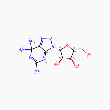 NC1=NC(N)(N)C2=NCN([C@@H]3O[C@H](CO)[C@@H](O)[C@H]3O)C2=N1